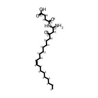 CCCCCCCC/C=C\CCCCCCCC(=O)CC(N)NC(=O)CCC(=O)O